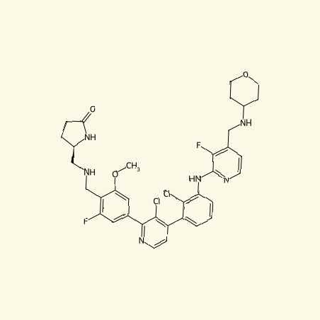 COc1cc(-c2nccc(-c3cccc(Nc4nccc(CNC5CCOCC5)c4F)c3Cl)c2Cl)cc(F)c1CNC[C@H]1CCC(=O)N1